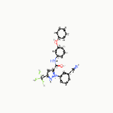 N#Cc1cccc(-n2nc(C(F)(F)F)cc2C(=O)Nc2cccc(Oc3ccccc3)c2)c1